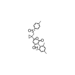 Cc1ccc([S+]([O-])CC2(c3cc(O)c(-c4c(C)cc(C)cc4C)c(=O)o3)CC2)cc1